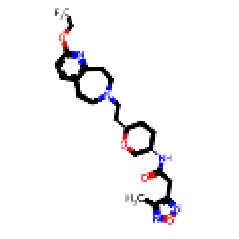 Cc1nonc1CC(=O)N[C@H]1CC[C@H](CCN2CCc3ccc(OCC(F)(F)F)nc3CC2)OC1